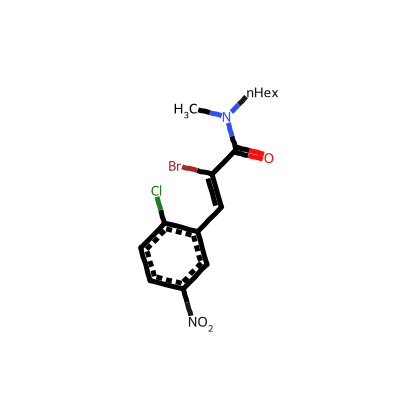 CCCCCCN(C)C(=O)/C(Br)=C/c1cc([N+](=O)[O-])ccc1Cl